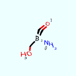 N.O=BO